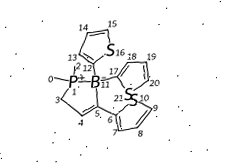 C[P+]1(C)CC=C(c2cccs2)[B-]1(c1cccs1)c1cccs1